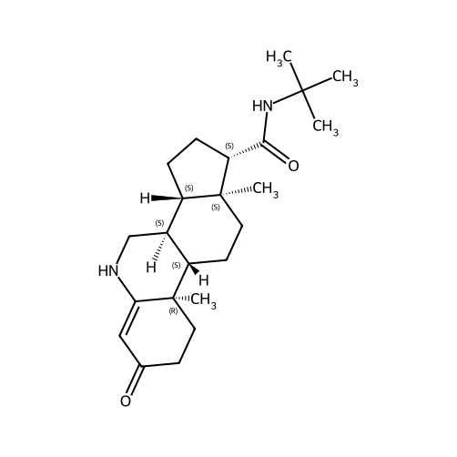 CC(C)(C)NC(=O)[C@H]1CC[C@H]2[C@@H]3CNC4=CC(=O)CC[C@]4(C)[C@H]3CC[C@]12C